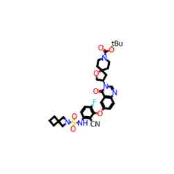 CC(C)(C)OC(=O)N1CCC2(CC1)C[C@@H](n1cnc3ccc(Oc4c(F)ccc(NS(=O)(=O)N5CC6(CCC6)C5)c4C#N)cc3c1=O)CO2